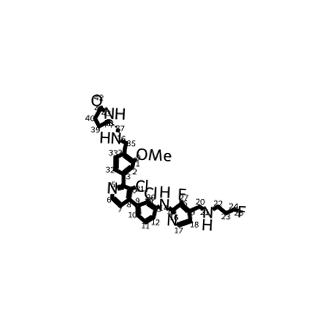 COc1cc(-c2nccc(-c3cccc(Nc4nccc(CNCCCF)c4F)c3Cl)c2Cl)ccc1CNC[C@@H]1CCC(=O)N1